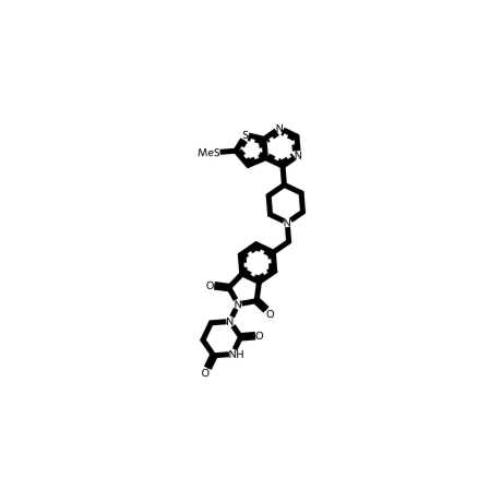 CSc1cc2c(C3CCN(Cc4ccc5c(c4)C(=O)N(N4CCC(=O)NC4=O)C5=O)CC3)ncnc2s1